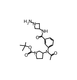 CC(=O)N(c1cccc(C(=O)NC2CN(N)C2)c1)C1CCN(C(=O)OC(C)(C)C)C1